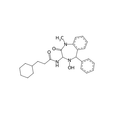 CN1C(=O)C(NC(=O)CCC2CCCCC2)N(O)C(c2ccccc2)c2ccccc21